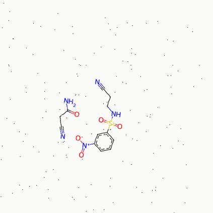 N#CCC(N)=O.N#CCCNS(=O)(=O)c1cccc([N+](=O)[O-])c1